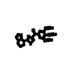 COc1cc(C(=O)c2csc(C3C=CC=C4C=CN=C43)n2)cc(OC)c1OC